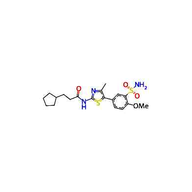 COc1ccc(-c2sc(NC(=O)CCC3CCCC3)nc2C)cc1S(N)(=O)=O